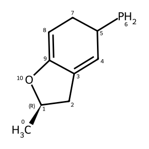 C[C@@H]1CC2=CC(P)CC=C2O1